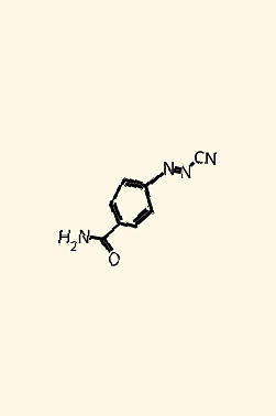 N#CN=Nc1ccc(C(N)=O)cc1